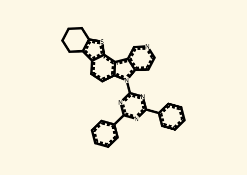 c1ccc(-c2nc(-c3ccccc3)nc(-n3c4ccncc4c4c5sc6c(c5ccc43)CCCC6)n2)cc1